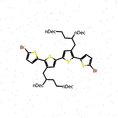 CCCCCCCCCCCCC(CCCCCCCCCC)Cc1cc(-c2cc(CC(CCCCCCCCCC)CCCCCCCCCCCC)c(-c3ccc(Br)s3)s2)sc1-c1ccc(Br)s1